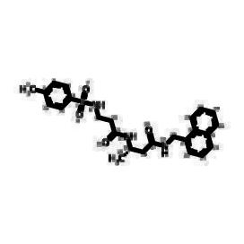 Cc1ccc(S(=O)(=O)NCCC(=O)N[C@@H](C)CC(=O)NCc2cccc3ccccc23)cc1